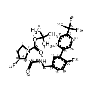 CC(C)(C)OC(=O)N1CC[C@H](F)[C@H]1C(=O)NCc1ccc(F)c(-c2cnc(C(F)(F)F)cn2)c1